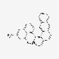 O=C(O)c1cc(C(F)(F)F)cc2cccc(-c3cccc4ccc5cc6ccccc6cc5c34)c12